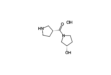 Cl.O=C([C@@H]1CCNC1)N1CC[C@H](O)C1